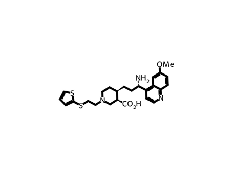 COc1ccc2nccc([C@@H](N)CC[C@@H]3CCN(CCSc4cccs4)C[C@@H]3C(=O)O)c2c1